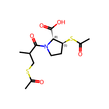 CC(=O)SCC(C)C(=O)N1CC[C@H](SC(C)=O)[C@H]1C(=O)O